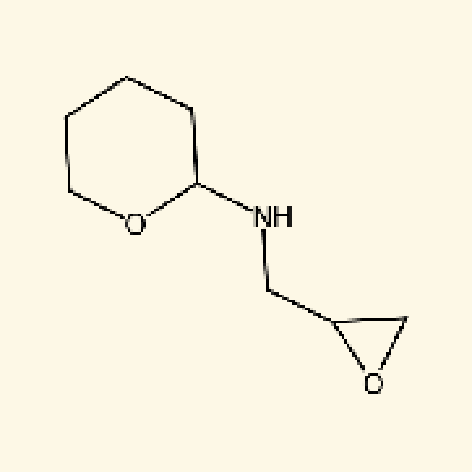 C1CCC(NCC2CO2)OC1